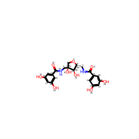 O=C(NC[C@H]1OC[C@@](O)(CNC(=O)c2cc(O)cc(O)c2)[C@@H]1O)c1cc(O)cc(O)c1